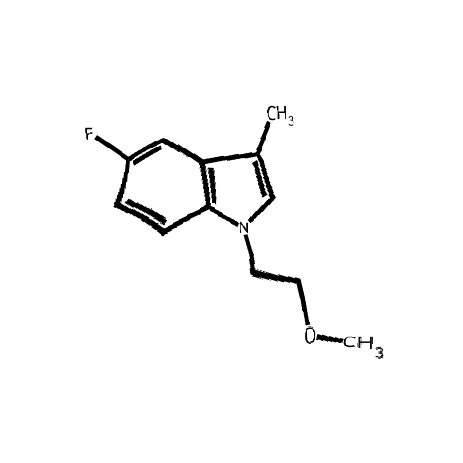 COCCn1cc(C)c2cc(F)ccc21